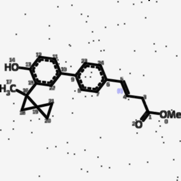 COC(=O)C/C=C/c1ccc(-c2ccc(O)c(C3(C)CC34CC4)c2)cc1